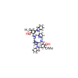 COc1cc(-c2nc3ccccc3s2)cc(CN2Cc3cccc(n3)CN(Cc3cc(-c4nc5ccccc5s4)cc(C)c3O)Cc3cccc(n3)C2)c1O